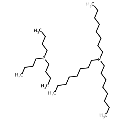 CCCCCCCCP(CCCCCCCC)CCCCCCCC.CCCCP(CCCC)CCCC